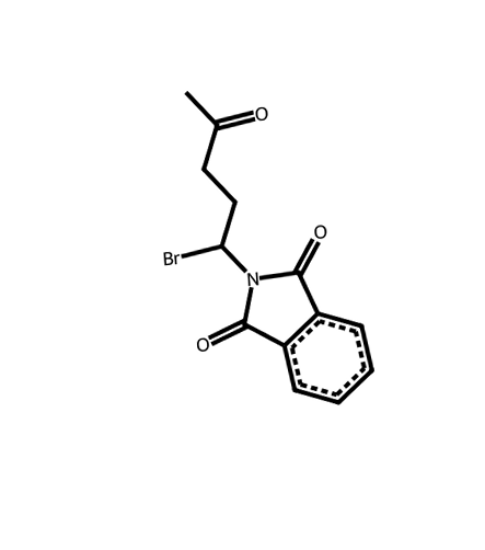 CC(=O)CCC(Br)N1C(=O)c2ccccc2C1=O